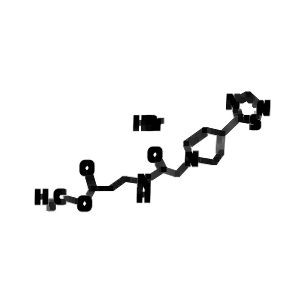 Br.COC(=O)CCNC(=O)CN1C=CC(c2ncns2)=CC1